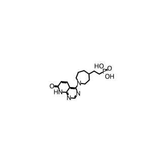 O=c1ccc2c(N3CCCC(CCP(=O)(O)O)CC3)ncnc2[nH]1